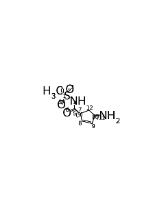 CS(=O)(=O)NC(=O)[C@@H]1C=C[C@H](N)C1